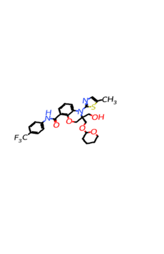 Cc1cnc(N2c3cccc(C(=O)Nc4ccc(C(F)(F)F)cc4)c3OCC2(CO)COC2CCCCO2)s1